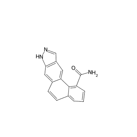 NC(=O)c1cccc2ccc3cc4[nH]ncc4cc3c12